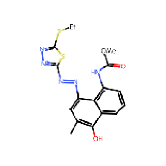 CCSc1nnc(/N=N/c2cc(C)c(O)c3cccc(NC(=O)OC)c23)s1